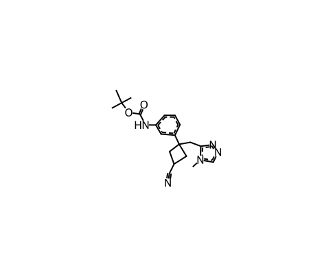 Cn1cnnc1CC1(c2cccc(NC(=O)OC(C)(C)C)c2)CC(C#N)C1